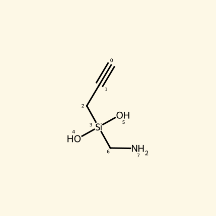 C#CC[Si](O)(O)CN